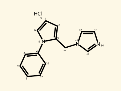 Cl.c1ccc(-n2cccc2Cn2ccnc2)cc1